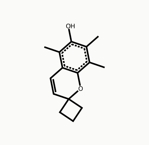 Cc1c(C)c2c(c(C)c1O)C=CC1(CCC1)O2